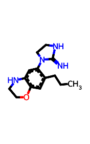 CCCc1cc2c(cc1N1CCNC1=N)NCCO2